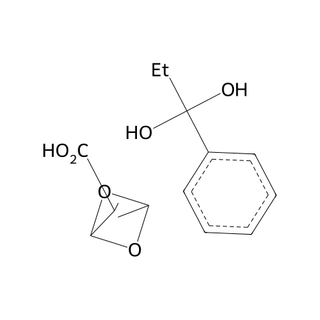 CCC(O)(O)c1ccccc1.O=C(O)C1=C2OC1O2